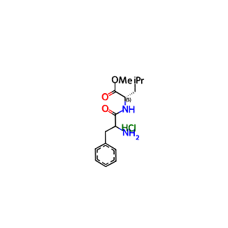 COC(=O)[C@H](CC(C)C)NC(=O)C(N)Cc1ccccc1.Cl